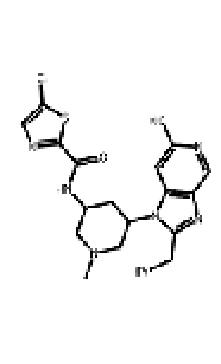 CC(C)Cc1nc2cnc(C#N)cc2n1C1CC(NC(=O)c2ncc(Cl)s2)CN(C)C1